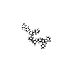 c1ccc(-c2ccc(-c3cc(-c4ccccc4)nc(-c4cccc(-c5cccc(-c6ccc7nc(-c8ccccc8)c8sc9ccccc9c8c7c6)c5)c4)n3)cc2)cc1